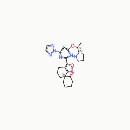 C[C@H](Oc1cc(-n2nccn2)nc(-c2onc3c2CCC[C@@]32CCCCC2=O)n1)[C@@H]1CCCN1C